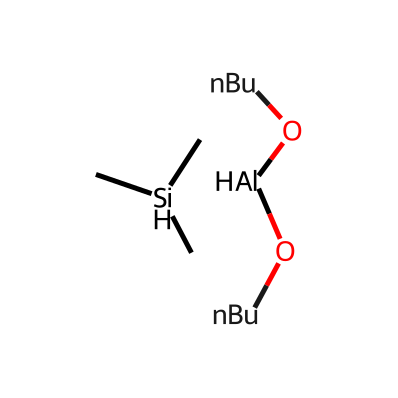 CCCC[O][AlH][O]CCCC.C[SiH](C)C